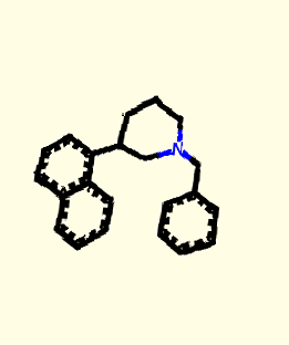 [CH]1CCN(Cc2ccccc2)C[C]1c1cccc2ccccc12